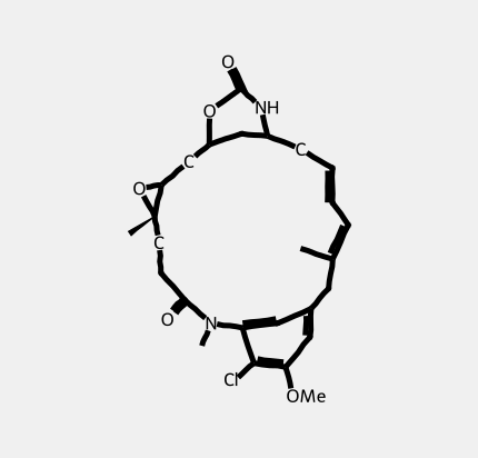 COc1cc2cc(c1Cl)N(C)C(=O)CC[C@]1(C)OC1CC1CC(C/C=C/C=C(\C)C2)NC(=O)O1